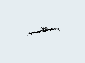 CCCCCCCCCCSC(CCCCCCCCC)C(C)[S]